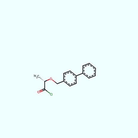 C[C@H](OCc1ccc(-c2ccccc2)cc1)C(=O)Cl